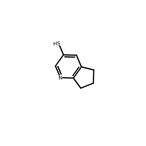 Sc1cnc2c(c1)CCC2